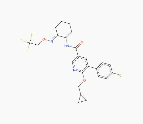 O=C(N[C@H]1CCCC/C1=N\OCC(F)(F)F)c1cnc(OCC2CC2)c(-c2ccc(Cl)cc2)c1